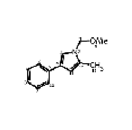 COCn1cc(-c2ccccc2)cc1C